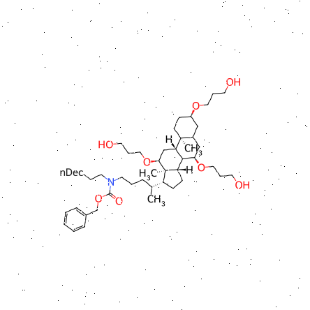 CCCCCCCCCCCCN(CCCC(C)[C@H]1CC[C@H]2C3[C@H](OCCCO)CC4C[C@H](OCCCO)CC[C@]4(C)[C@H]3C[C@H](OCCCO)[C@]12C)C(=O)OCc1ccccc1